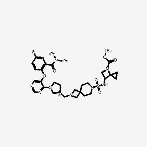 CC(C)N(C(=O)c1cc(F)ccc1Oc1cncnc1N1CC[C@@H](CN2CC3(CCN(S(=O)(=O)NC4CN(C(=O)OC(C)(C)C)C45CC5)CC3)C2)C1)C(C)C